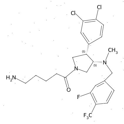 CN(Cc1ccc(C(F)(F)F)c(F)c1)[C@@H]1CN(C(=O)CCCCN)C[C@@H]1c1ccc(Cl)c(Cl)c1